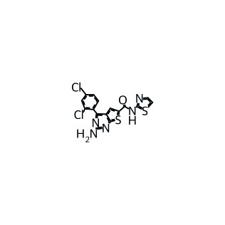 Nc1nc(-c2ccc(Cl)cc2Cl)c2cc(C(=O)Nc3nccs3)sc2n1